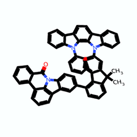 CC1(C)c2cc(-n3c4ccccc4c4ccc5c6ccccc6n(-c6ccccc6)c5c43)ccc2-c2c(-c3ccc4c(c3)c3cccc5c6ccccc6c(=O)n4c53)cccc21